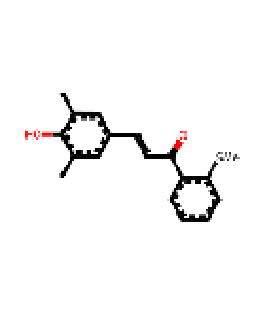 CSc1ccccc1C(=O)C=Cc1cc(C)c(O)c(C)c1